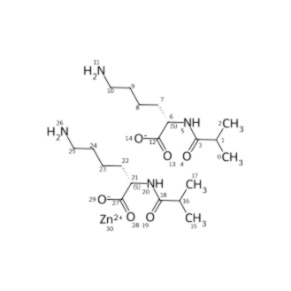 CC(C)C(=O)N[C@@H](CCCCN)C(=O)[O-].CC(C)C(=O)N[C@@H](CCCCN)C(=O)[O-].[Zn+2]